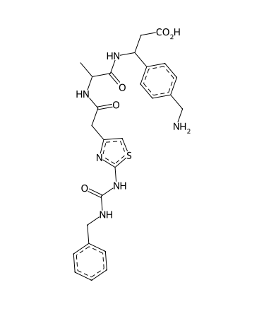 CC(NC(=O)Cc1csc(NC(=O)NCc2ccccc2)n1)C(=O)NC(CC(=O)O)c1ccc(CN)cc1